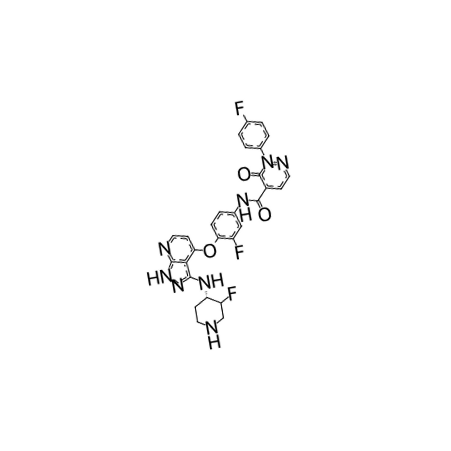 O=C(Nc1ccc(Oc2ccnc3[nH]nc(N[C@H]4CCNCC4F)c23)c(F)c1)c1ccnn(-c2ccc(F)cc2)c1=O